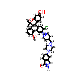 COc1cccc(C2C(C3=CC=C(N4CCC(CN5CCN(c6ccc7c(c6)CN(C)C7=O)CC5)CC4)C(F)C3)C3=CCC(O)C=C3OC2(C)C)c1